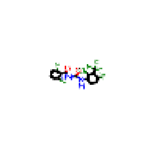 O=C(NC(=O)c1c(F)cccc1F)Nc1ccc(F)c(C(F)(F)F)c1Cl